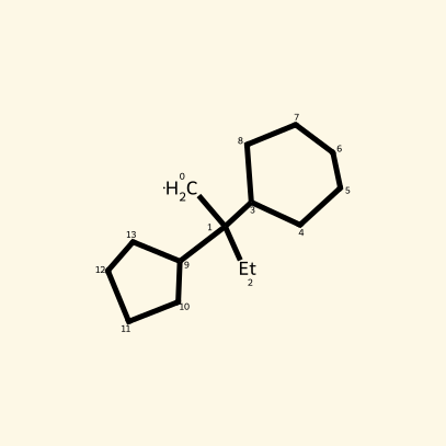 [CH2]C(CC)(C1CCCCC1)C1CCCC1